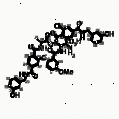 COc1cccc(C(=O)NC([C@H](N)C(=O)O)N(OC(=O)[C@H](C)NC(=O)c2ccc(C(=O)NCc3cccc(O)c3)cc2Cl)C(=O)c2ccc(C(=O)NCc3cccc(O)c3)cc2Cl)c1